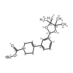 CC(C)(C)OC(=O)N1CC=C(c2cccc(B3OC(C)(C)C(C)(C)O3)c2)CC1